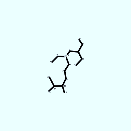 CCC(CC)CN(CC)CCCC(C)C(C)C